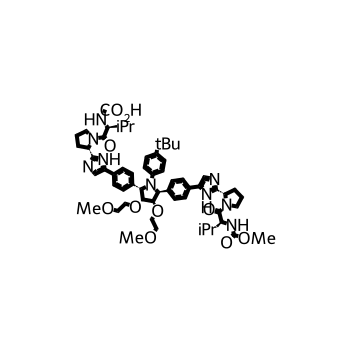 COCCO[C@H]1[C@H](OCCOC)[C@H](c2ccc(-c3cnc([C@@H]4CCCN4C(=O)[C@@H](NC(=O)OC)C(C)C)[nH]3)cc2)N(c2ccc(C(C)(C)C)cc2)[C@H]1c1ccc(-c2cnc([C@@H]3CCCN3C(=O)[C@@H](NC(=O)O)C(C)C)[nH]2)cc1